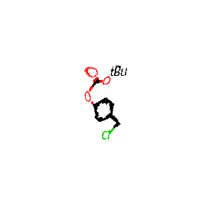 CC(C)(C)OC(=O)Oc1ccc(CCl)cc1